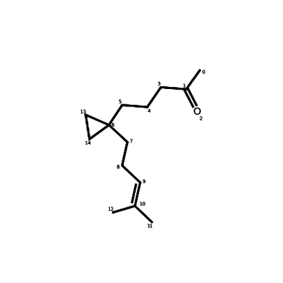 CC(=O)CCCC1(CCC=C(C)C)CC1